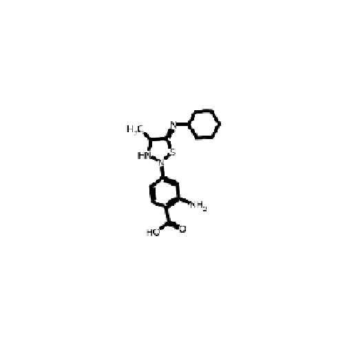 CC1NN(c2ccc(C(=O)O)c(N)c2)SC1=NC1CCCCC1